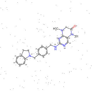 CCN1C(=O)CN(C)c2nc(NCc3ccc(CN4CCc5ccccc54)cc3)ncc21